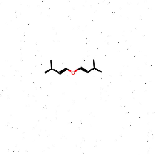 CC(C)/C=C/O/C=C/C(C)C